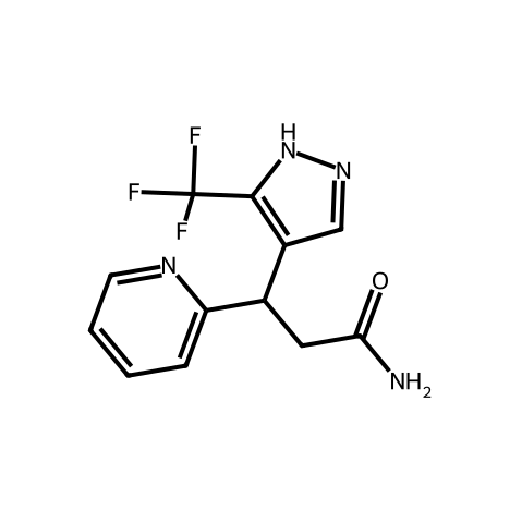 NC(=O)CC(c1ccccn1)c1cn[nH]c1C(F)(F)F